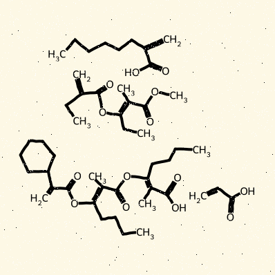 C=C(C(=O)OC(CCCC)=C(C)C(=O)OC(CCCC)=C(C)C(=O)O)C1CCCCC1.C=C(CC)C(=O)OC(CC)=C(C)C(=O)OC.C=C(CCCCCC)C(=O)O.C=CC(=O)O